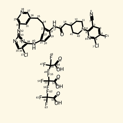 N#Cc1cc(F)c(Cl)nc1N1CCC(CC(=O)Nc2ccc3cc2CCc2cncc(c2)Nc2ncc(Cl)c(n2)N3)CC1.O=C(O)C(F)(F)F.O=C(O)C(F)(F)F.O=C(O)C(F)(F)F